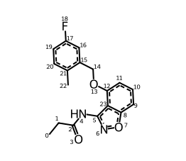 CCC(=O)Nc1noc2cccc(OCc3cc(F)ccc3C)c12